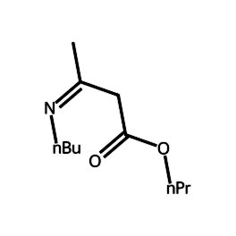 CCCC/N=C(/C)CC(=O)OCCC